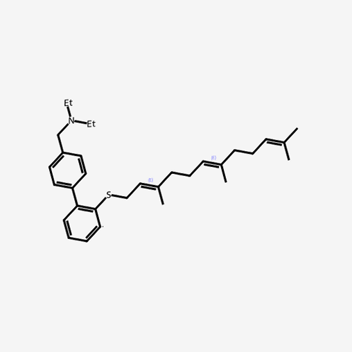 CCN(CC)Cc1ccc(-c2ccc[c]c2SC/C=C(\C)CC/C=C(\C)CCC=C(C)C)cc1